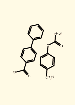 CCC(C)C(=O)c1ccc(-c2ccccc2)cc1.CCCCCCCCCC(=O)Oc1ccc(C(=O)O)cc1